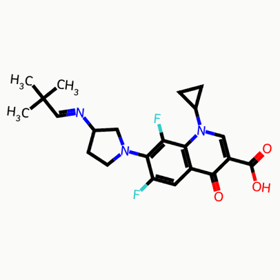 CC(C)(C)/C=N/C1CCN(c2c(F)cc3c(=O)c(C(=O)O)cn(C4CC4)c3c2F)C1